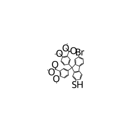 COC(=O)c1cc(C2(c3ccc(OC)c(C(=O)OC)c3)c3cc(S)ccc3-c3ccc(Br)cc32)ccc1OC